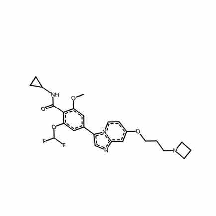 COc1cc(-c2cnc3cc(OCCCN4CCC4)ccn23)cc(OC(F)F)c1C(=O)NC1CC1